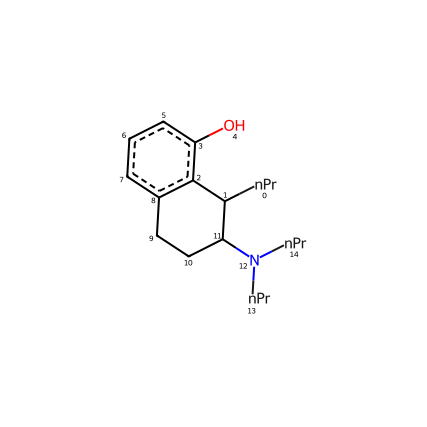 CCCC1c2c(O)cccc2CCC1N(CCC)CCC